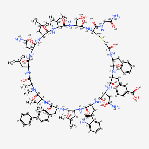 CC(C)CC1NC(=O)C(C)N(C)C(=O)C(C(C)C)NC(=O)[C@H](Cc2ccc(-c3ccccc3)cc2)NC(=O)C(CC(C)C)NC(=O)[C@H](Cc2c[nH]c3ccccc23)NC(=O)[C@H](CC(N)=O)NC(=O)[C@H](Cc2cccc(C(=O)O)c2)NC(=O)[C@H](Cc2ccccc2)NC(=O)CSCC(C(=O)NCC(N)=O)NC(=O)C(CO)NC(=O)[C@H](C(C)C)NC(=O)[C@H](CC(C)C)NC(=O)[C@H](CC(N)=O)NC1=O